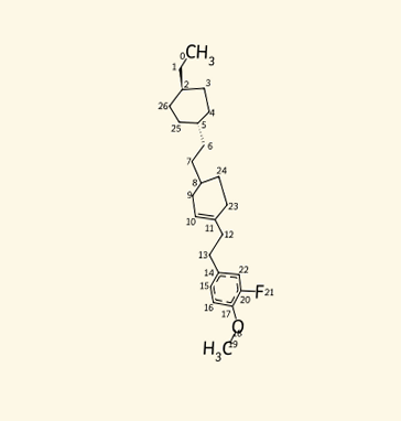 CC[C@H]1CC[C@H](CCC2CC=C(CCc3ccc(OC)c(F)c3)CC2)CC1